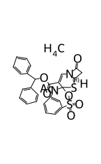 C.CC(=O)N1c2cccc(c2)S(=O)(=O)OC12S[C@@H]1CC(=O)N1C=C2C(=O)OC(c1ccccc1)c1ccccc1